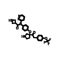 O=C(C1CNC1)N(c1ccc(O[C@]2(C(=O)Cc3ccc(OC(F)(F)F)cc3)CCNC2)cc1)c1cccnn1